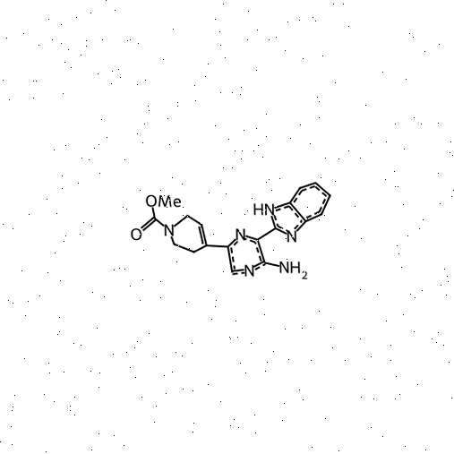 COC(=O)N1CC=C(c2cnc(N)c(-c3nc4ccccc4[nH]3)n2)CC1